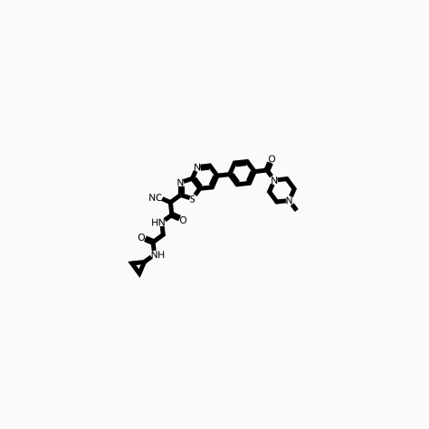 CN1CCN(C(=O)c2ccc(-c3cnc4nc(C(C#N)C(=O)NCC(=O)NC5CC5)sc4c3)cc2)CC1